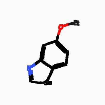 CCOc1ccc2[se]cnc2c1